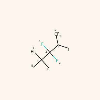 CCC(C)(C)C(F)(F)C(C)C(F)(F)F